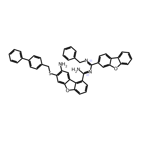 N/C(=N\C(=N/Cc1ccccc1)c1ccc2c(c1)oc1ccccc12)c1cccc2oc3cc(SCc4ccc(-c5ccccc5)cc4)c(N)cc3c12